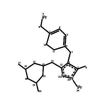 Cc1c(CC2=CC=C(CC(C)C)CC2)c(CC2CC(C)CC(C)C2)nn1C(C)C